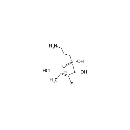 C/C=C(\F)C(O)P(=O)(O)CCCN.Cl